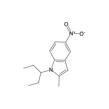 CCC(CC)n1c(C)cc2cc([N+](=O)[O-])ccc21